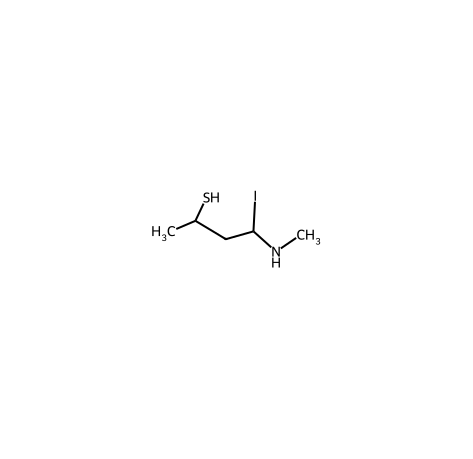 CNC(I)CC(C)S